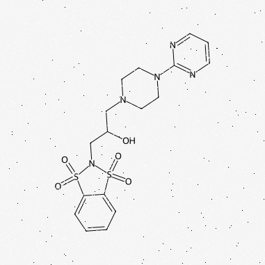 O=S1(=O)c2ccccc2S(=O)(=O)N1CC(O)CN1CCN(c2ncccn2)CC1